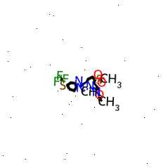 CCON=Cc1nc(-c2nc3cc(SC(F)(F)F)ccc3n2C)ccc1S(C)(=O)=O